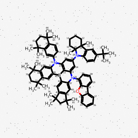 CC(C)(C)c1ccc2c(c1)C1(C)CCCCC1(C)N2c1cc2c3c(c1)N(c1cccc4c1oc1ccccc14)c1cc4c(cc1B3c1cc3c(cc1N2c1ccc2c(c1)C(C)(C)CCC2(C)C)C(C)(C)CCC3(C)C)C(C)(C)CC4(C)C